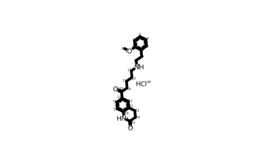 COc1ccccc1CCNCCCCC(=O)c1ccc2c(c1)CCC(=O)N2.Cl